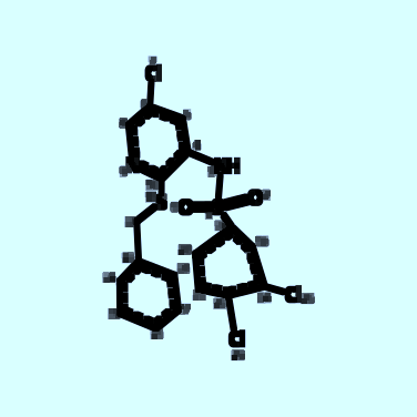 O=S(=O)(Nc1cc(Cl)cnc1SCc1ccccc1)c1ccc(Cl)c(Cl)c1